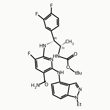 CCn1ncc2c(Nc3nc(N[C@H](c4ccc(F)c(F)c4)[C@H](C)NC(=O)OC(C)(C)C)c(F)cc3C(N)=O)cccc21